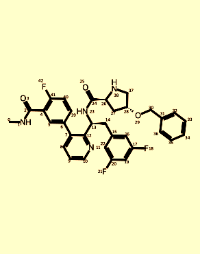 CNC(=O)c1cc(-c2cccnc2[C@H](Cc2cc(F)cc(F)c2)NC(=O)[C@@H]2C[C@@H](OCc3ccccc3)CN2)ccc1F